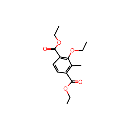 CCOC(=O)c1ccc(C(=O)OCC)c(OCC)c1C